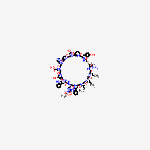 CCCC[C@H]1C(=O)N(C)[C@@H](CCCC)C(=O)N[C@@H](CC(C)C)C(=O)N[C@H](C(N)=O)C(C)(C)SCC(=O)N[C@@H](Cc2ccc(O)cc2)C(=O)N2CCCC[C@H]2C(=O)N[C@@H](CC(=O)O)C(=O)N2CCC[C@H]2C(=O)N[C@@H](Cc2cnc[nH]2)C(=O)N[C@@H](CCC(=O)O)C(=O)N2C[C@H](O)C[C@H]2C(=O)N[C@@H](Cc2c[nH]c3ccccc23)C(=O)N[C@@H](CCN)C(=O)N[C@@H](Cc2cn(CC(=O)NS(C)(=O)=O)c3ccccc23)C(=O)N1C